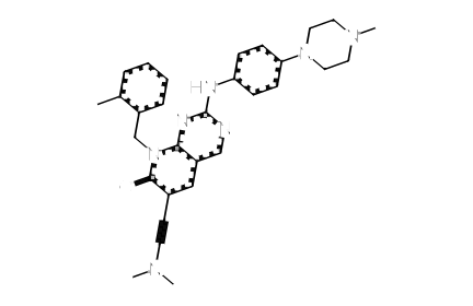 Cc1ccccc1Cn1c(=O)c(C#CN(C)C)cc2cnc(Nc3ccc(N4CCN(C)CC4)cc3)nc21